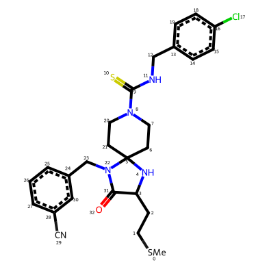 CSCCC1NC2(CCN(C(=S)NCc3ccc(Cl)cc3)CC2)N(Cc2cccc(C#N)c2)C1=O